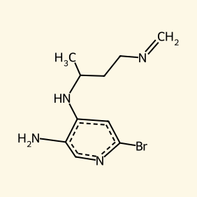 C=NCCC(C)Nc1cc(Br)ncc1N